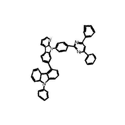 C1=CC2c3c(-c4ccc5c6cccnc6n(-c6ccc(-c7nc(-c8ccccc8)cc(-c8ccccc8)n7)cc6)c5c4)cccc3N(c3ccccc3)C2C=C1